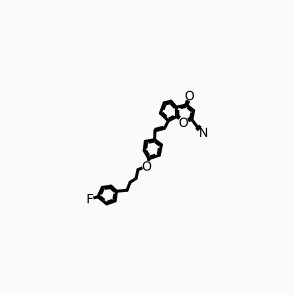 N#Cc1cc(=O)c2cccc(C=Cc3ccc(OCCCCc4ccc(F)cc4)cc3)c2o1